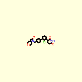 O=C1CCC(c2cccc(-c3ccc(CN4C(=O)CC45CCOCC5)cc3)c2Cl)C(=O)N1